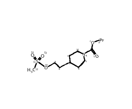 CC(C)OC(=O)N1CCC(CCOS(C)(=O)=O)CC1